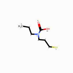 CCCN(CCCS)C(=O)O